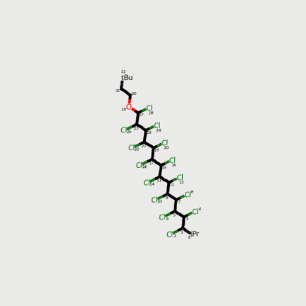 CC(C)C(Cl)C(Cl)C(Cl)C(Cl)C(Cl)C(Cl)C(Cl)C(Cl)C(Cl)C(Cl)C(Cl)C(Cl)C(Cl)C(Cl)OCCC(C)(C)C